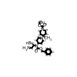 CCCCC(CN)N(C(=O)OCc1ccccc1)C1CCN(C2(C)CCN(C(=O)OC(C)(C)C)CC2)CC1